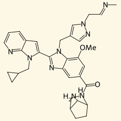 C/N=C/Cn1cc(Cn2c(-c3cc4cccnc4n3CC3CC3)nc3cc(C(=O)N4CC5CCC4[C@@H]5N)cc(OC)c32)cn1